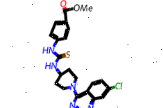 COC(=O)c1ccc(NC(=S)NC2CCN(c3ncnc4cc(Cl)ccc34)CC2)cc1